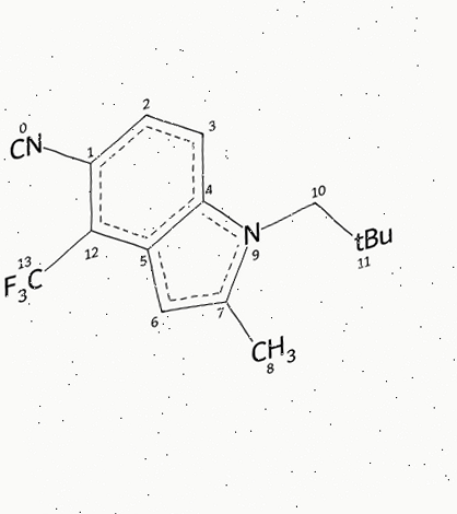 [C-]#[N+]c1ccc2c(cc(C)n2CC(C)(C)C)c1C(F)(F)F